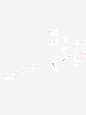 CCCCCCCCC(=O)OC[C@H]1OC(OC(C)C)[C@H](O)[C@@H](O)[C@@H]1O